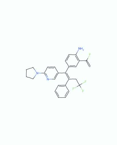 C=C(F)c1cc(/C(=C(\CC(F)(F)F)c2ccccc2)c2ccc(N3CCCC3)nc2)ccc1N